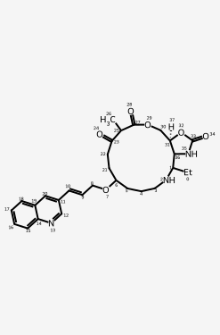 CCC1NCCCC(OC/C=C/c2cnc3ccccc3c2)CCC(=O)C(C)C(=O)OC[C@H]2OC(=O)NC12